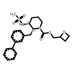 CS(=O)(=O)N[C@H]1CCCN(C(=O)OCC2CCO2)[C@H]1Cc1cccc(-c2ccccc2)c1